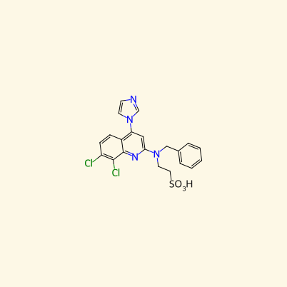 O=S(=O)(O)CCN(Cc1ccccc1)c1cc(-n2ccnc2)c2ccc(Cl)c(Cl)c2n1